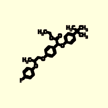 CCOC(=O)C(Oc1ccc(C(C)(C)C)cc1)c1ccc(OCC(C)Oc2ccc(F)cc2)cc1